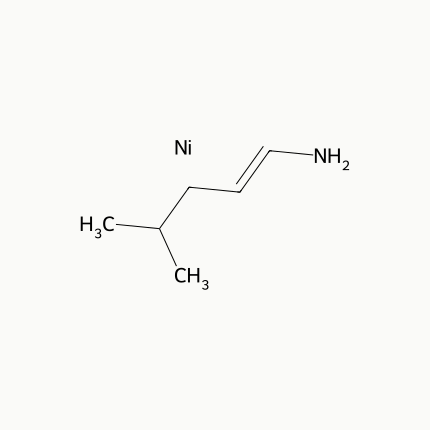 CC(C)CC=CN.[Ni]